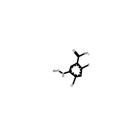 CONc1cc(C(N)=O)c(F)cc1Cl